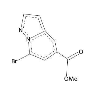 COC(=O)c1cc(Br)n2nccc2c1